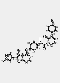 Cn1cc(-c2oc3ncnc(Oc4ccc(NC(=O)c5cccn(-c6ccc(F)cc6)c5=O)cc4)c3c2Br)cn1